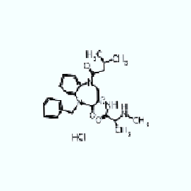 CNC(C)C(=O)N[C@H]1CN(C(=O)CC(C)C)c2ccccc2N(Cc2ccccc2)C1=O.Cl